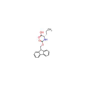 CCC[C@H](NC(=O)OCC1c2ccccc2-c2ccccc21)C(=O)O